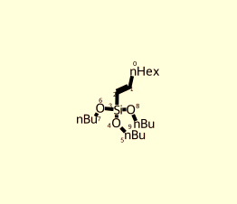 CCCCCCC=C[Si](OCCCC)(OCCCC)OCCCC